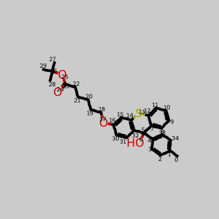 Cc1ccc(C2(O)c3ccccc3Sc3cc(OCCCCCC(=O)OC(C)(C)C)ccc32)cc1